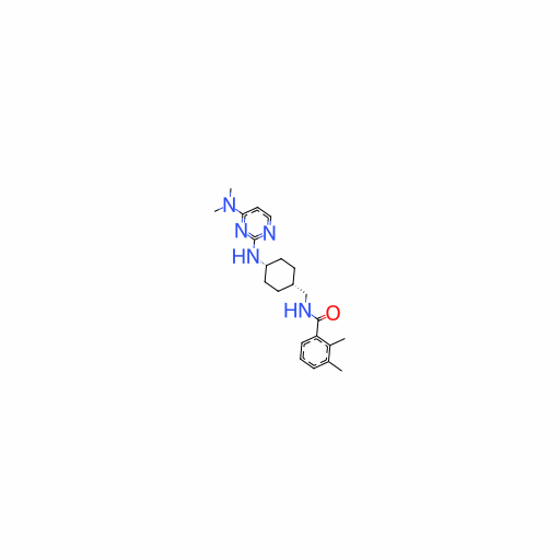 Cc1cccc(C(=O)NC[C@H]2CC[C@@H](Nc3nccc(N(C)C)n3)CC2)c1C